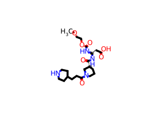 COCCOC(=O)N[C@H](CC(=O)O)NC(=O)[C@@H]1CCCN(C(=O)CCC2CCNCC2)C1